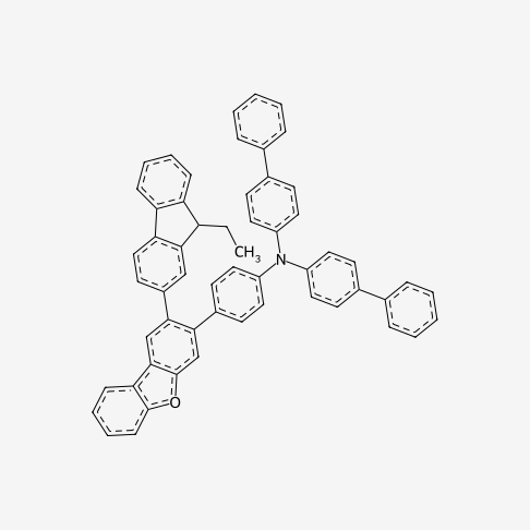 CCC1c2ccccc2-c2ccc(-c3cc4c(cc3-c3ccc(N(c5ccc(-c6ccccc6)cc5)c5ccc(-c6ccccc6)cc5)cc3)oc3ccccc34)cc21